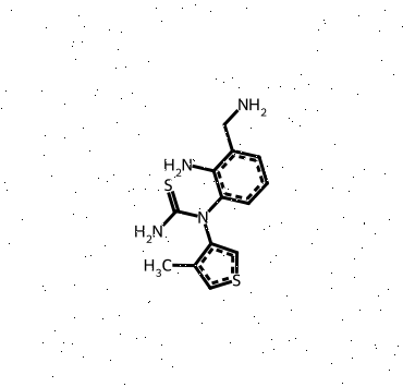 Cc1cscc1N(C(N)=S)c1cccc(CN)c1N